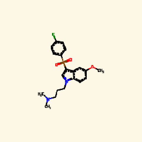 COc1ccc2c(c1)c(S(=O)(=O)c1ccc(F)cc1)cn2CCCN(C)C